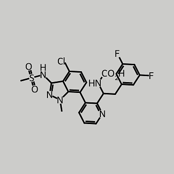 Cn1nc(NS(C)(=O)=O)c2c(Cl)ccc(-c3cccnc3C(Cc3cc(F)cc(F)c3)NC(=O)O)c21